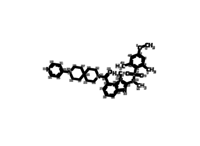 COc1cc(C)c(S(=O)(=O)N(C)c2nc3cccc(C(=O)N4CCC5(CC4)CCN(c4ccncc4)CC5)c3n2C)c(C)c1